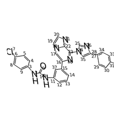 O=C(Nc1ccc(Cl)cc1)Nc1cccc(-c2cn3ccnc3c(-n3cnc(-c4ccc(Cl)cc4)c3)n2)c1